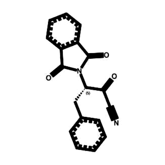 N#CC(=O)[C@H](Cc1ccccc1)N1C(=O)c2ccccc2C1=O